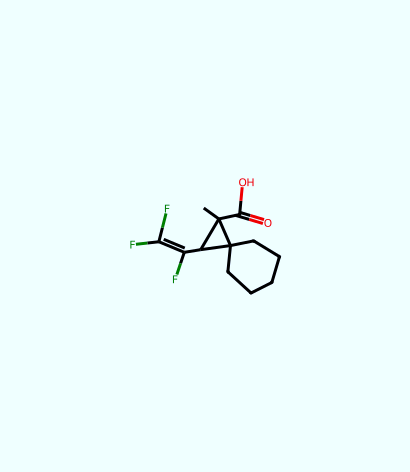 CC1(C(=O)O)C(C(F)=C(F)F)C12CCCCC2